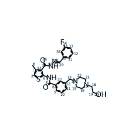 Cc1csc(NC(=O)c2cccc(CN3CCN(CCO)CC3)c2)c1C(=O)NN=Cc1cccc(F)c1